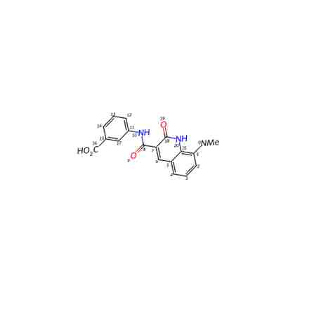 CNc1cccc2cc(C(=O)Nc3cccc(C(=O)O)c3)c(=O)[nH]c12